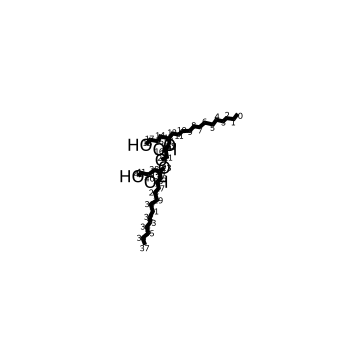 CCCCCCCCCCCCCC(CC(O)CO)OCCOOC(CCCCCCCCCCCCC)CC(O)CO